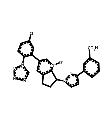 O=C(O)c1cccc(-c2ccn(C3CCc4cc(-c5cc(Cl)ccc5-n5cnnn5)c[n+]([O-])c43)n2)c1